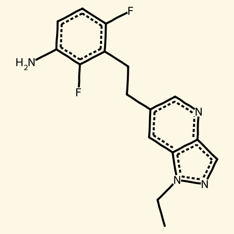 CCn1ncc2ncc(CCc3c(F)ccc(N)c3F)cc21